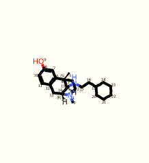 CN1CC[C@@]2(C)c3cc(O)ccc3C[C@@H]1[C@@H]2NCCC1CCCCC1